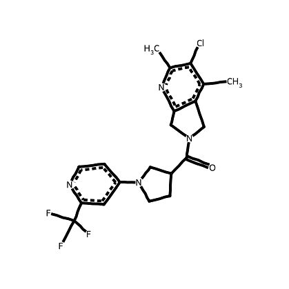 Cc1nc2c(c(C)c1Cl)CN(C(=O)C1CCN(c3ccnc(C(F)(F)F)c3)C1)C2